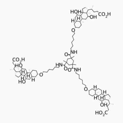 C[C@H](CCC(=O)O)[C@H]1CC[C@H]2[C@@H]3CC[C@@H]4C[C@@H](OCCCCCCNC(=O)C5(C)CC(C)(C(=O)NCCCCCCO[C@H]6CC[C@@]7(C)[C@@H](C6)C[C@@H](O)[C@@H]6[C@@H]7C[C@H](O)[C@]7(C)[C@@H]([C@H](C)CCC(=O)O)CC[C@@H]67)CC(C)(C(=O)NCCCCCCO[C@H]6CC[C@]7(C)C8C[C@H](O)[C@]9(C)[C@@H]([C@H](C)CCC(=O)O)CC[C@H]9[C@@H]8[C@H](O)C[C@@H]7C6)C5)CC[C@]4(C)[C@H]3C[C@H](O)[C@]12C